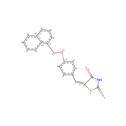 O=C1NC(=S)S/C1=C/c1ccc(OCc2cccc3ccccc23)cc1